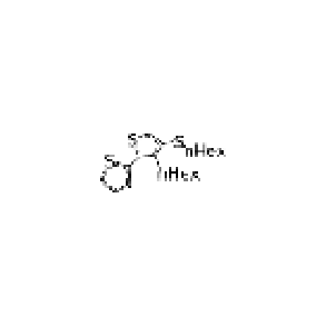 CCCCCCSc1csc(-c2cccs2)c1CCCCCC